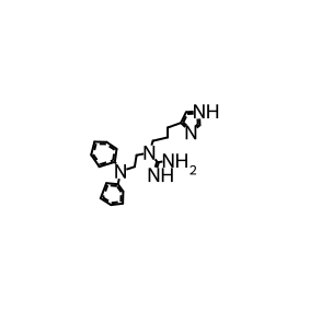 N=C(N)N(CCCc1c[nH]cn1)CCN(c1ccccc1)c1ccccc1